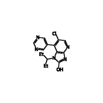 CCC(CC)n1c(O)nc2ncc(Cl)c(-c3cncnc3)c21